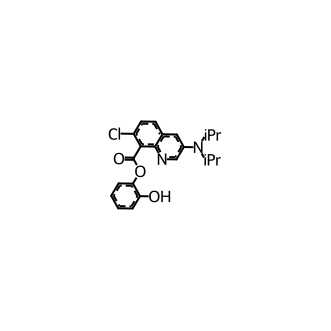 CC(C)N(c1cnc2c(C(=O)Oc3ccccc3O)c(Cl)ccc2c1)C(C)C